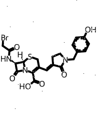 O=C(CBr)N[C@@H]1C(=O)N2C(C(=O)O)=C(C=C3CCN(Cc4ccc(O)cc4)C3=O)CS[C@H]12